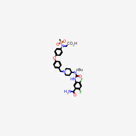 CCCCN(C(=O)Nc1cc(C(N)=O)c(F)cc1F)C1CCN(Cc2ccc(Oc3ccc(N(CC(=O)O)S(C)(=O)=O)cc3)cc2)CC1